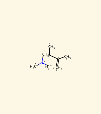 C=C(C)CC.CN(C)C